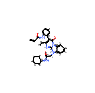 C=CC(=O)Nc1ccccc1-c1c(CC)nc2n(CC(=O)NC3CCCCC3)c3ccccc3n2c1=O